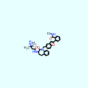 CCNC(=O)c1ccccc1-c1cc2cc(CN3C(=O)[C@H](NC(=O)CC(C)(C)N)CCc4ccccc43)ccc2o1